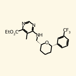 CCOC(=O)c1ncnc(NC[C@H]2CCC[C@@H](c3cccc(C(F)(F)F)c3)O2)c1C